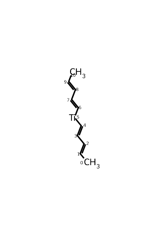 CC=CC=[CH][Ti][CH]=CC=CC